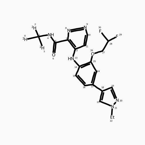 [2H]C([2H])([2H])NC(=O)c1nnccc1Nc1ccc(-c2cnn(CC)c2)cc1OCC(F)F